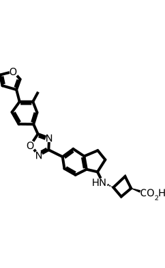 Cc1cc(-c2nc(-c3ccc4c(c3)CCC4N[C@H]3C[C@H](C(=O)O)C3)no2)ccc1-c1ccoc1